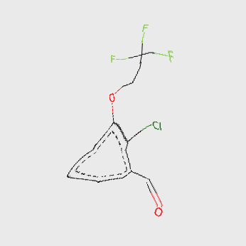 O=Cc1cccc(OCC(F)(F)F)c1Cl